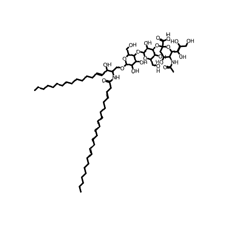 CCCCCCCCCCCCC/C=C/C(O)C(COC1OC(CO)C(OC2OC(CO)C(O)C(OC3(C(=O)O)CC(O)C(NC(C)=O)C(C(O)C(O)CO)O3)C2O)C(O)C1O)NC(=O)CCCCCCCCCCCCCCCCCCCCCCC